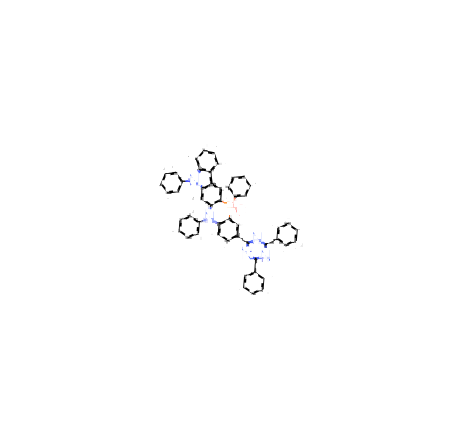 O=P1(c2ccccc2)c2cc(-c3nc(-c4ccccc4)nc(-c4ccccc4)n3)ccc2N(c2ccccc2)c2cc3c(cc21)c1ccccc1n3-c1ccccc1